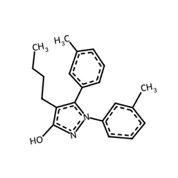 CCCCc1c(O)nn(-c2cccc(C)c2)c1-c1cccc(C)c1